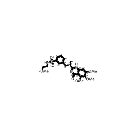 COCCNS(=O)(=O)c1cccc(CN(C)c2nc(=O)c3c(OC)c(OC)c(OC)cc3[nH]2)c1